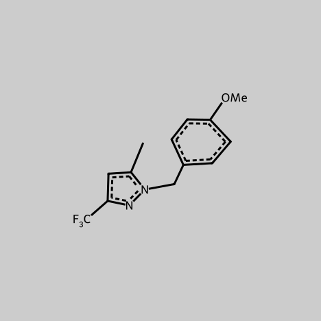 COc1ccc(Cn2nc(C(F)(F)F)cc2C)cc1